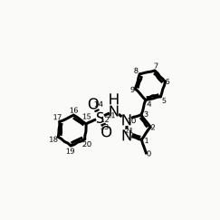 Cc1cc(-c2ccccc2)n(NS(=O)(=O)c2ccccc2)n1